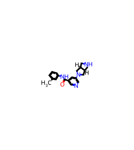 Cc1cccc(NC(=O)c2cncc(N3C[C@H]4CNC[C@H]4C3)c2)c1